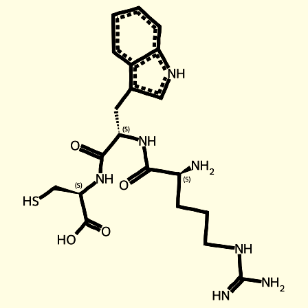 N=C(N)NCCC[C@H](N)C(=O)N[C@@H](Cc1c[nH]c2ccccc12)C(=O)N[C@H](CS)C(=O)O